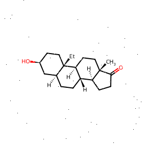 CC[C@]12CC[C@H](O)C[C@@H]1CC[C@@H]1[C@@H]2CC[C@]2(C)C(=O)CC[C@@H]12